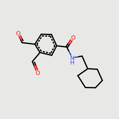 O=Cc1ccc(C(=O)NCC2CCCCC2)cc1C=O